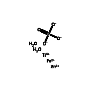 O.O.O=P([O-])([O-])[O-].[Fe+2].[Ti+4].[Zn+2]